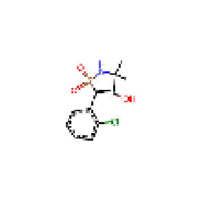 CC1(C)NS(=O)(=O)C(c2ccccc2Cl)=C1O